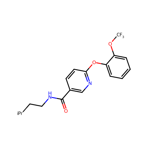 CC(C)CCNC(=O)c1ccc(Oc2ccccc2OC(F)(F)F)nc1